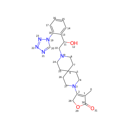 CC1=C(N2CCC3(CCN(CC(O)c4ccccc4-n4cnnn4)CC3)CC2)COC1=O